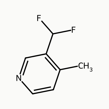 Cc1ccncc1C(F)F